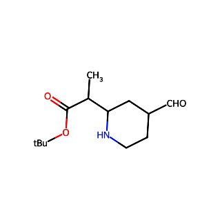 CC(C(=O)OC(C)(C)C)C1CC(C=O)CCN1